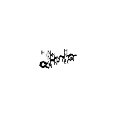 CCn1nc(C)cc1NC(=O)Cn1cnc2c(-n3ncc4ccccc43)nc(N)nc21